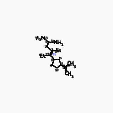 CC/C(CC(N)N)=C(/CC)C1CCC(N(C)C)C1